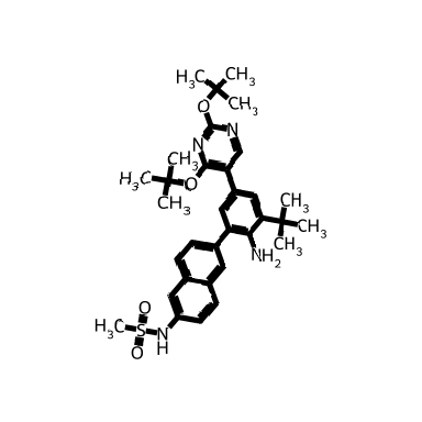 CC(C)(C)Oc1ncc(-c2cc(-c3ccc4cc(NS(C)(=O)=O)ccc4c3)c(N)c(C(C)(C)C)c2)c(OC(C)(C)C)n1